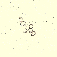 CCN1CCN(CCC(C)(O)c2ccccc2-c2ccccc2)CC1